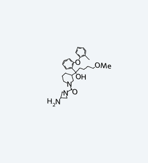 COCCCC[C@@](O)(c1ccccc1Oc1ccccc1C)C1CCCN(C(=O)N2CC(N)C2)C1